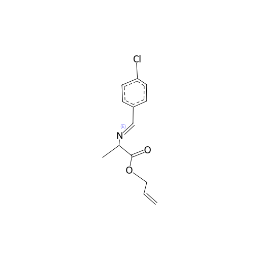 C=CCOC(=O)C(C)/N=C/c1ccc(Cl)cc1